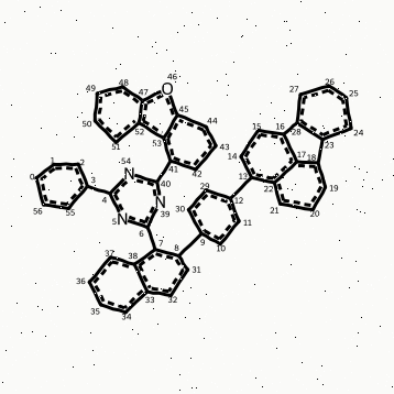 c1ccc(-c2nc(-c3c(-c4ccc(-c5ccc6c7c(cccc57)-c5ccccc5-6)cc4)ccc4ccccc34)nc(-c3cccc4oc5ccccc5c34)n2)cc1